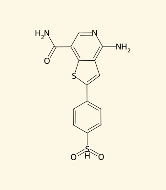 NC(=O)c1cnc(N)c2cc(-c3ccc([SH](=O)=O)cc3)sc12